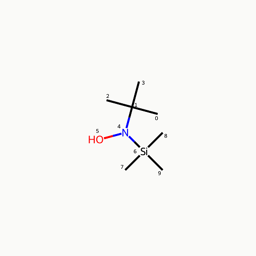 CC(C)(C)N(O)[Si](C)(C)C